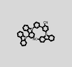 N#Cc1ccc2c3ccccc3n(-c3ccc(C#N)c(-c4cccc(-n5c6ccccc6c6c(-n7c8ccccc8c8ccccc87)cccc65)c4)c3)c2c1